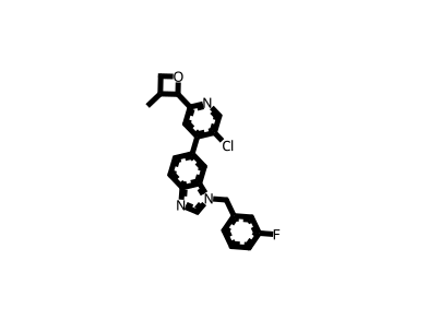 CC1COC1c1cc(-c2ccc3ncn(Cc4cccc(F)c4)c3c2)c(Cl)cn1